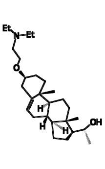 CCN(CC)CCO[C@H]1CC[C@@]2(C)C(=CC[C@H]3[C@@H]4CC[C@H]([C@@H](C)O)[C@@]4(C)CC[C@@H]32)C1